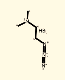 Br.CN(C)CCN=[N+]=[N-]